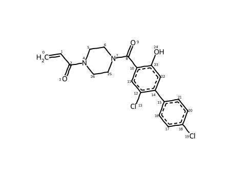 C=CC(=O)N1CCN(C(=O)c2cc(Cl)c(-c3ccc(Cl)cc3)cc2O)CC1